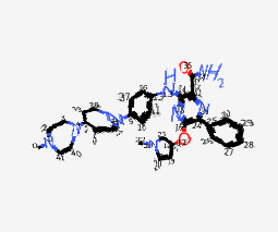 CN1CCN(C2CCN(c3ccc(Nc4nc(O[C@H]5CCN(C)C5)c(-c5ccccc5)nc4C(N)=O)cc3)CC2)CC1